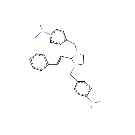 CN(C)c1ccc(CN2CCN(Cc3ccc(N(C)C)cc3)C2C=Cc2ccccc2)cc1